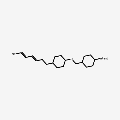 CCCCCC1CCC(COC2CCC(CCC=CC=CC#N)CC2)CC1